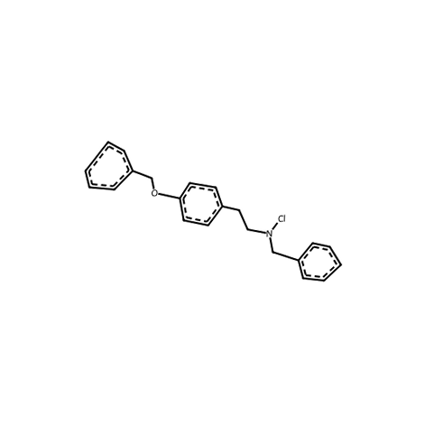 ClN(CCc1ccc(OCc2ccccc2)cc1)Cc1ccccc1